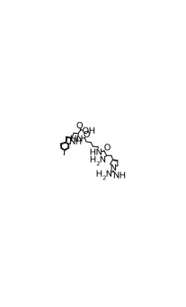 Cc1ccc2cc(CC(NC(=O)CCCCNC(=O)C(N)CC3=CCN(C(=N)N)C3)C(=O)O)[nH]c2c1